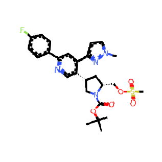 Cn1ccc(-c2cc(-c3ccc(F)cc3)ncc2[C@@H]2C[C@H](COS(C)(=O)=O)N(C(=O)OC(C)(C)C)C2)n1